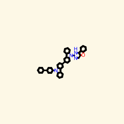 C1=NC(n2c3ccccc3c3cc(-c4ccc5c(c4)c4ccccc4n5-c4ccc(-c5ccccc5)cc4)ccc32)Nc2c1oc1ccccc21